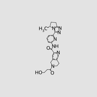 C[C@H]1CCc2nnc(-c3cccc(NC(=O)c4cc5c(cn4)CCN(C(=O)CCO)C5)n3)n21